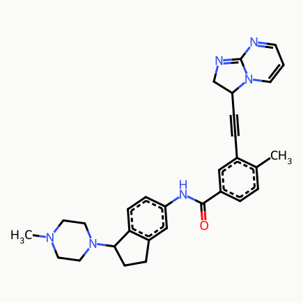 Cc1ccc(C(=O)Nc2ccc3c(c2)CCC3N2CCN(C)CC2)cc1C#CC1CN=C2N=CC=CN21